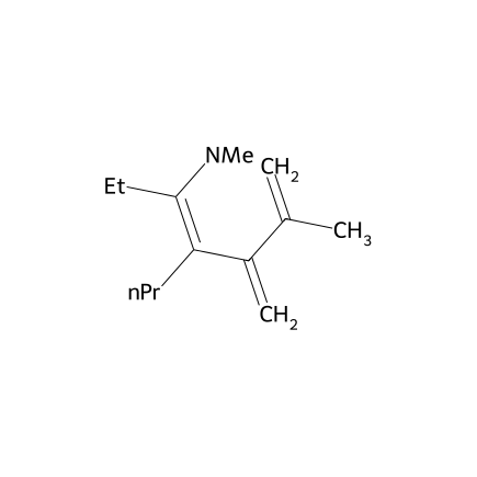 C=C(C)C(=C)/C(CCC)=C(/CC)NC